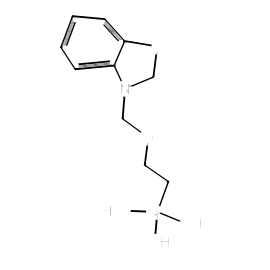 C[Si](C)(C)CCOCN1CSc2ccccc21